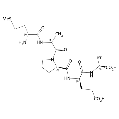 CSCC[C@@H](N)C(=O)N[C@H](C)C(=O)N1CCC[C@@H]1C(=O)N[C@H](CCC(=O)O)C(=O)N[C@H](C(=O)O)C(C)C